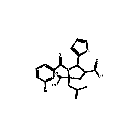 CC(C)CC1(C(=O)O)CC(C(=O)O)C(c2ccco2)N1C(=O)c1cccc(Br)c1